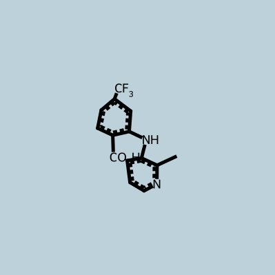 Cc1ncccc1Nc1cc(C(F)(F)F)ccc1C(=O)O